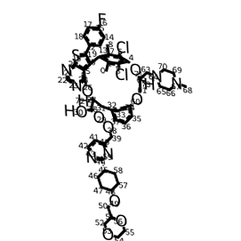 Cc1c(Cl)c2c(Cl)c(C)c1-c1c(-c3ccc(F)cc3)sc3ncnc(c13)O[C@@H](C(=O)O)Cc1cc(ccc1OCc1ccnc([C@H]3CC[C@@H](OCC4COCCO4)CC3)n1)OC[C@@H](CN1CCN(C)CC1)O2